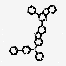 c1ccc(-c2ccc(N(c3ccccc3)c3ccc4c(c3)oc3cc(-c5nc(-c6ccccc6)c6sc7ccccc7c6n5)ccc34)cc2)cc1